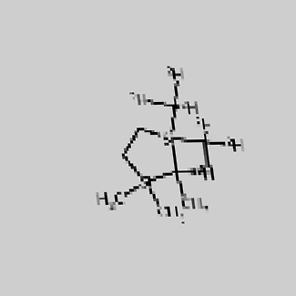 [2H]C([2H])([2H])[Si]1(C([2H])([2H])[2H])CC[Si](C)(C)[C@@]1([2H])C